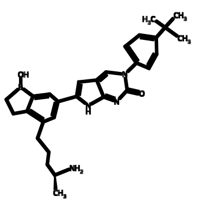 C[C@H](N)CCCc1cc(-c2cc3cn(-c4ccc(C(C)(C)C)cc4)c(=O)nc3[nH]2)cc2c1CCB2O